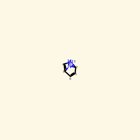 c1cc2ncc1[nH]2